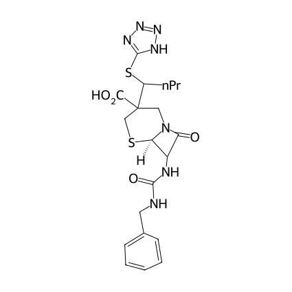 CCCC(Sc1nnn[nH]1)C1(C(=O)O)CS[C@@H]2C(NC(=O)NCc3ccccc3)C(=O)N2C1